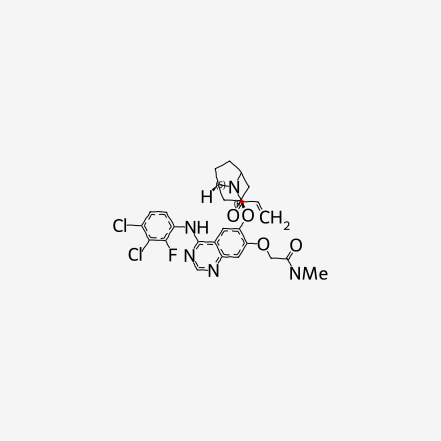 C=CC(=O)N1C2CC[C@H]1C[C@H](Oc1cc3c(Nc4ccc(Cl)c(Cl)c4F)ncnc3cc1OCC(=O)NC)C2